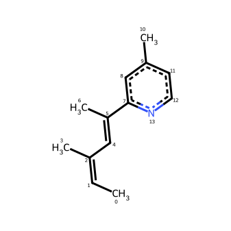 C/C=C(C)\C=C(/C)c1cc(C)ccn1